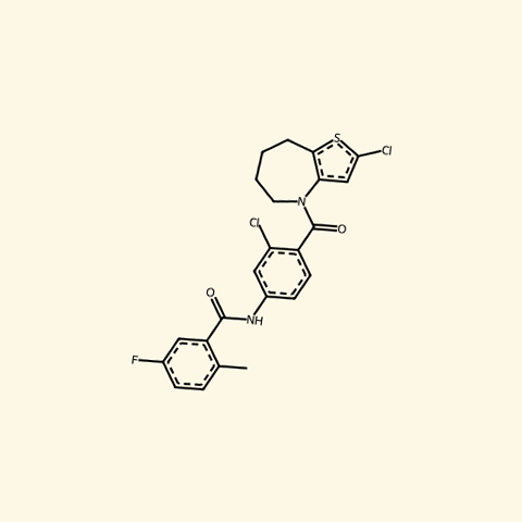 Cc1ccc(F)cc1C(=O)Nc1ccc(C(=O)N2CCCCc3sc(Cl)cc32)c(Cl)c1